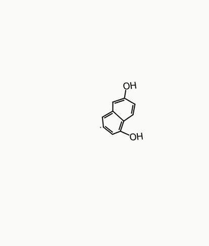 Oc1ccc2c(O)c[c]cc2c1